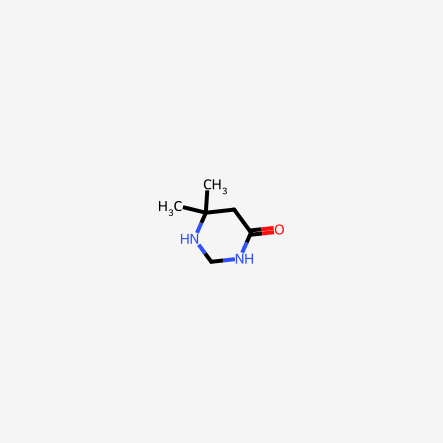 CC1(C)CC(=O)NCN1